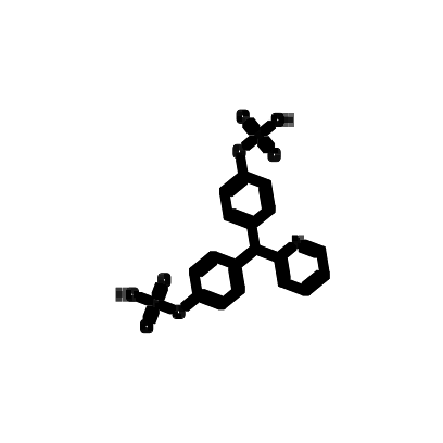 O=S(=O)(O)Oc1ccc(C(c2ccc(OS(=O)(=O)O)cc2)c2ccccn2)cc1